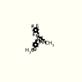 CNCc1cc(OCc2cc(F)c(F)cc2F)n(Cc2ccc(OC)cc2)n1